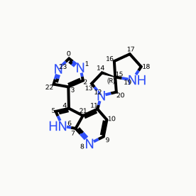 c1ncc(-c2c[nH]c3nccc(N4CC[C@]5(CCCN5)C4)c23)cn1